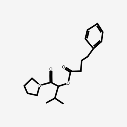 CC(C)C(OC(=O)CCCc1ccccc1)C(=O)N1CCCC1